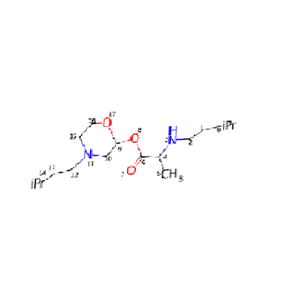 CC(C)CCNC(C)C(=O)OC1CN(CCC(C)C)CCO1